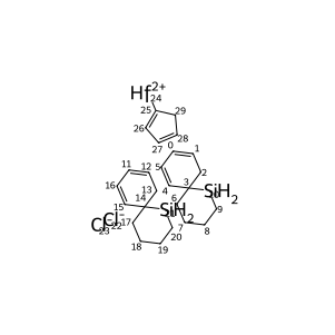 C1=CCC2(C=C1)CCCC[SiH2]2.C1=CCC2(C=C1)CCCC[SiH2]2.[Cl-].[Cl-].[Hf+2][C]1=CC=CC1